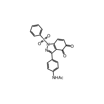 CC(=O)Nc1ccc(-c2nn(S(=O)(=O)c3ccccc3)c3c2C(=O)C(=O)C=C3)cc1